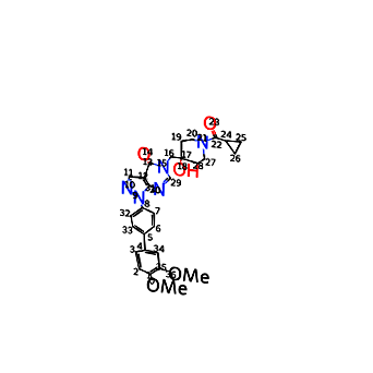 COc1ccc(-c2ccc(-n3ncc4c(=O)n(CC5(O)CCN(C(=O)C6CC6)CC5)cnc43)cc2)cc1OC